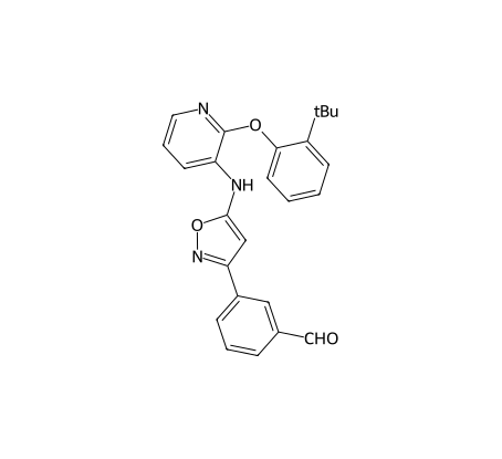 CC(C)(C)c1ccccc1Oc1ncccc1Nc1cc(-c2cccc(C=O)c2)no1